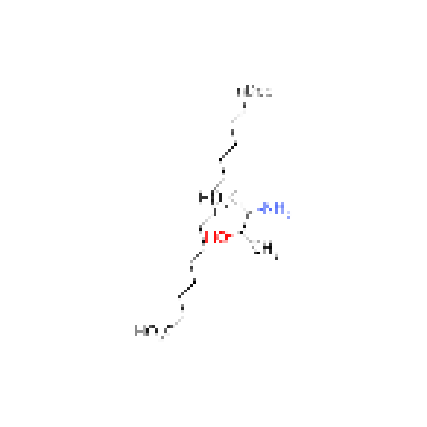 CC(O)C(N)C(=O)O.CCCCCCCCCCCCCCCCCCCCCCCC(=O)O